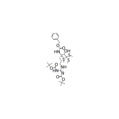 CSC(SC)(SC)C(O)[C@H](CCCN/C(=N/C(=O)OC(C)(C)C)NC(=O)OC(C)(C)C)NC(=O)OCc1ccccc1